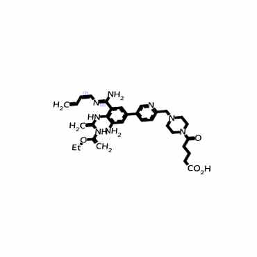 C=C/C=C\N=C(/N)c1cc(-c2ccc(CN3CCN(C(=O)CCCC(=O)O)CC3)nc2)cc(N)c1NC(=C)NC(=C)OCC